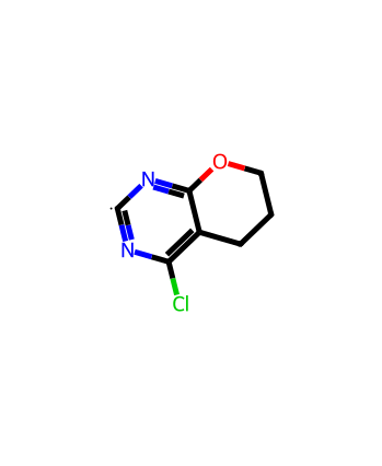 Clc1n[c]nc2c1CCCO2